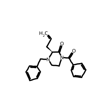 C=CC[C@H]1C(=O)N(C(=O)c2ccccc2)CCN1Cc1ccccc1